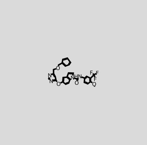 COc1ccc(NC(=O)n2ccc3cc(Oc4cc(COCc5ccccc5)ncn4)ccc32)cc1C(F)(F)F